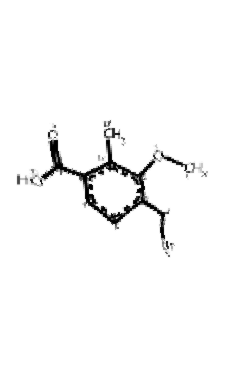 COc1c(CBr)ccc(C(=O)O)c1C